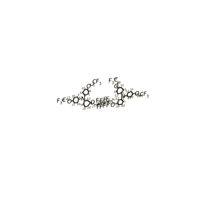 FC(F)(F)COc1ccc(N(c2ccc(OCC(F)(F)F)cc2)c2cccc(OCC(F)(F)C(F)(F)C(F)(F)C(F)(F)COc3cccc(N(c4ccc(OCC(F)(F)F)cc4)c4ccc(OCC(F)(F)F)cc4)c3)c2)cc1